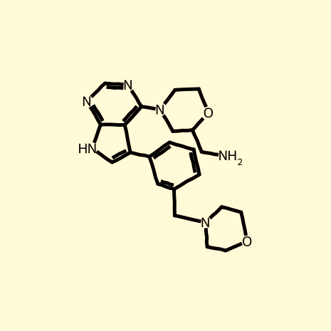 NCC1CN(c2ncnc3[nH]cc(-c4cccc(CN5CCOCC5)c4)c23)CCO1